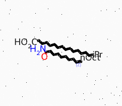 CC(C)CCCCCCCCCCCCCCC(=O)O.CCCCCCCC/C=C\CCCCCCCC(N)=O